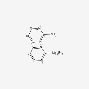 Nc1ncccn1.Nc1ncccn1.S